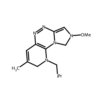 CON1C=C2N=NC3=C(N(CC(C)C)CC(C)=C3)N2C1